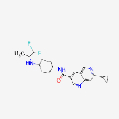 CC(N[C@H]1CC[C@H](NC(=O)c2cnc3cc(C4CC4)ncc3c2)CC1)C(F)F